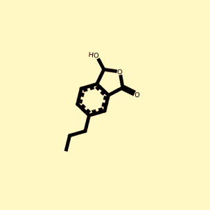 CCCc1ccc2c(c1)C(=O)OC2O